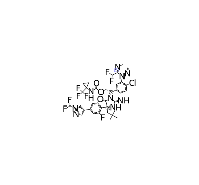 C=NN(/C(=N\C)C(F)F)c1cc([C@@H](COC(=O)NC2(C(F)(F)F)CC2)N2C(=N)N[C@](CC(C)(C)C)(c3ccc(-c4cnn(C(F)F)c4)cc3F)C2=O)ccc1Cl